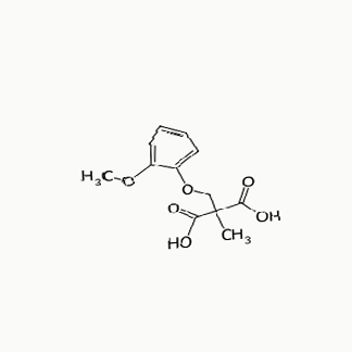 COc1ccccc1OCC(C)(C(=O)O)C(=O)O